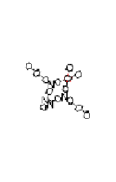 c1ccc(-c2ccc(-c3ccc(N(c4ccc(-c5ccc(-c6ccccc6)cc5)cc4)c4ccc(-c5nc6ccccc6nc5-c5ccc(N(c6ccc(-c7ccc(-c8ccccc8)cc7)cc6)c6ccc(-c7ccc(-c8ccccc8)cc7)cc6)cc5)cc4)cc3)cc2)cc1